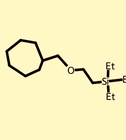 CC[Si](CC)(CC)CCOCC1CCCCCC1